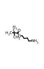 CC(C)(C)C(=O)OCCCCN